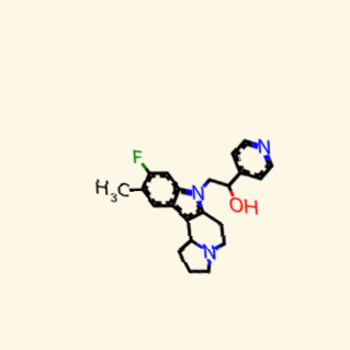 Cc1cc2c3c(n(CC(O)c4ccncc4)c2cc1F)CCN1CCCC31